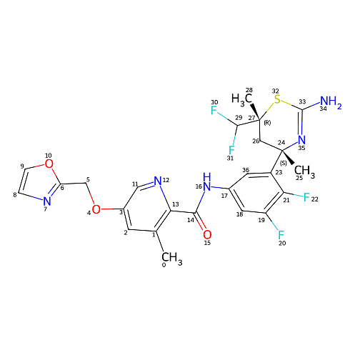 Cc1cc(OCc2ncco2)cnc1C(=O)Nc1cc(F)c(F)c([C@]2(C)C[C@](C)(C(F)F)SC(N)=N2)c1